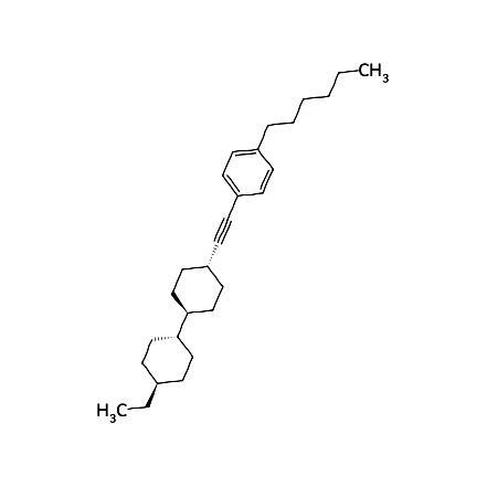 CCCCCCc1ccc(C#C[C@H]2CC[C@H]([C@H]3CC[C@H](CC)CC3)CC2)cc1